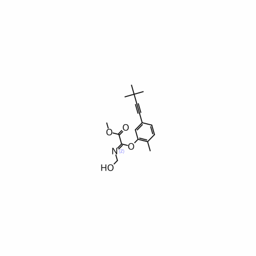 COC(=O)/C(=N/CO)Oc1cc(C#CC(C)(C)C)ccc1C